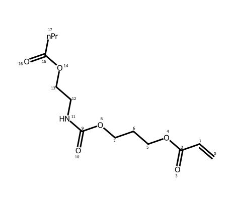 C=CC(=O)OCCCOC(=O)NCCOC(=O)CCC